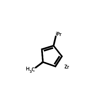 C[C]1C=CC(C(C)C)=C1.[Zr]